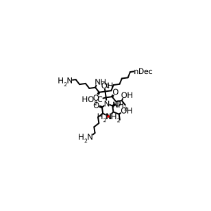 CCCCCCCCCCCCCCCCC(O)(C(=O)C(N)CCCCN)C(C(=O)O)(C(=O)C(N)C(C)O)N(C(=O)C(N)CCCCN)C(=O)C(N)C(C)O